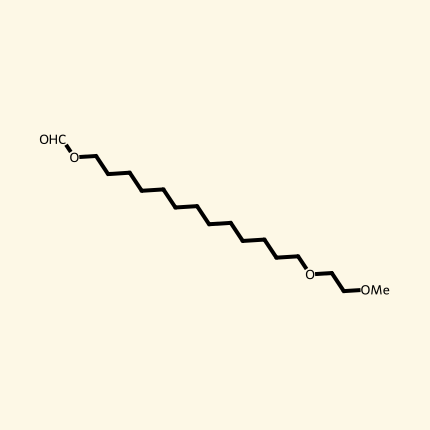 COCCOCCCCCCCCCCCCCOC=O